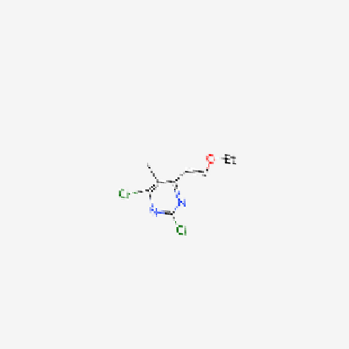 CCOC=Cc1nc(Cl)nc(Cl)c1C